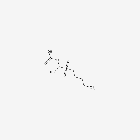 CCCCCS(=O)(=O)C(C)OC(=O)O